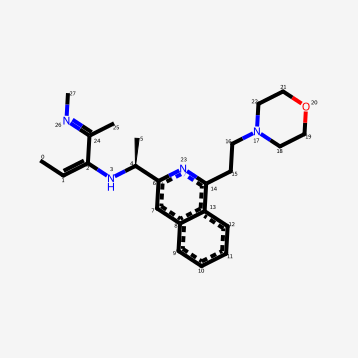 C/C=C(N[C@@H](C)c1cc2ccccc2c(CCN2CCOCC2)n1)\C(C)=N\C